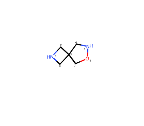 C1NCC12CNOC2